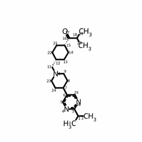 CC(C)c1ncc(C2CCN(C[C@H]3CC[C@@H](C(=O)C(C)C)CC3)CC2)cn1